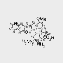 COc1ccc(C(c2ccc(N(C)N)c(N)c2C)C(C)(C)C(=O)O)cc1CN1CCOc2cc3cccnc3cc2C1